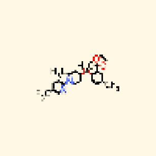 CC1C[C@H](Oc2ccc(C(F)(F)F)cc2C2(C)OCCO2)CCN1c1ccc(C(F)(F)F)cn1